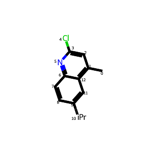 Cc1cc(Cl)nc2ccc(C(C)C)cc12